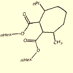 CCCCCCOC(=O)C1C(C)CCCC(CCC)C1C(=O)OCCCCCC